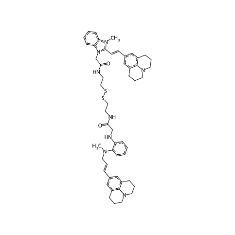 CN(C/C=C/c1cc2c3c(c1)CCCN3CCC2)c1ccccc1NCC(=O)NCCSSCCNC(=O)C[n+]1c(/C=C/c2cc3c4c(c2)CCCN4CCC3)n(C)c2ccccc21